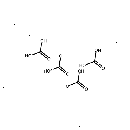 O=C(O)O.O=C(O)O.O=C(O)O.O=C(O)O